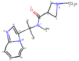 CCCN(C(=O)C1CN(C(=O)O)C1)C(C)(C)c1cnc2ccccn12